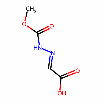 COC(=O)N/N=C/C(=O)O